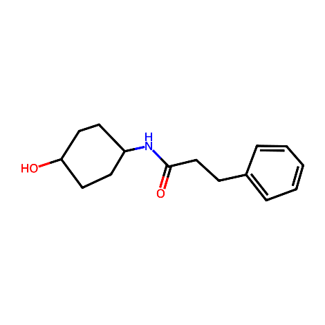 O=C(CCc1ccccc1)NC1CCC(O)CC1